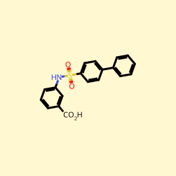 O=C(O)c1cccc(NS(=O)(=O)c2ccc(-c3ccccc3)cc2)c1